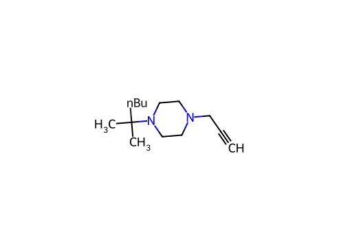 C#CCN1CCN(C(C)(C)CCCC)CC1